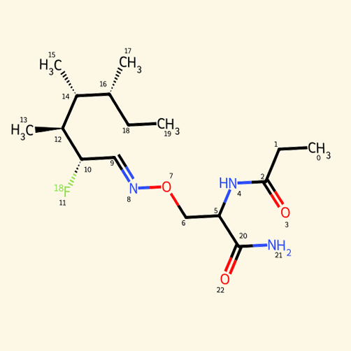 CCC(=O)NC(CO/N=C/[C@H]([18F])[C@@H](C)[C@H](C)[C@H](C)CC)C(N)=O